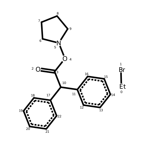 CCBr.O=C(ON1CCCC1)C(c1ccccc1)c1ccccc1